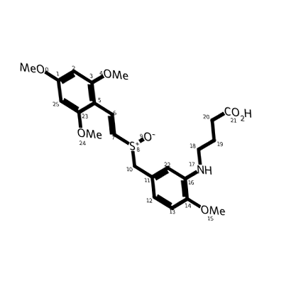 COc1cc(OC)c(/C=C/[S+]([O-])Cc2ccc(OC)c(NCCCC(=O)O)c2)c(OC)c1